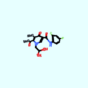 COC(=O)c1c(OC)c(=O)c(C(=O)Nc2ccc(F)cc2F)cn1CC(O)O